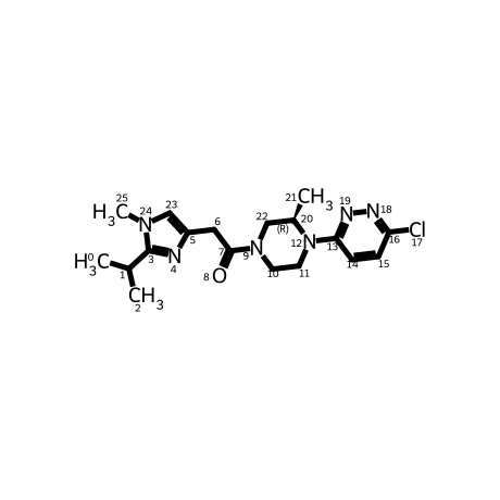 CC(C)c1nc(CC(=O)N2CCN(c3ccc(Cl)nn3)[C@H](C)C2)cn1C